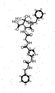 CC(C)(C)[C@H](C(=O)O)C(NC(=O)CNC(=O)c1csc(NC(=O)NCc2ccccc2)n1)C(=O)NCc1ccccc1